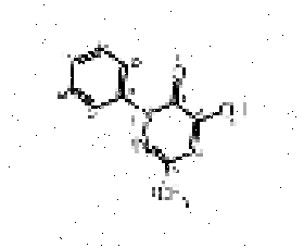 O=c1c(O)cc(C(F)(F)F)nn1-c1ccccc1